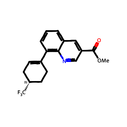 COC(=O)c1cnc2c(C3=CC[C@@H](C(F)(F)F)CC3)cccc2c1